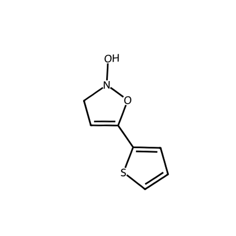 ON1CC=C(c2cccs2)O1